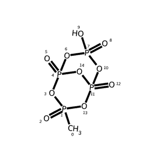 CP1(=O)OP2(=O)OP(=O)(O)OP(=O)(O1)O2